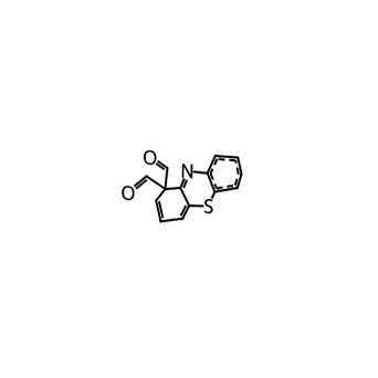 O=CC1(C=O)C=CC=C2Sc3ccccc3N=C21